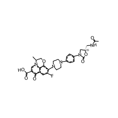 CC(=O)NC[C@H]1CN(c2ccc(N3CCN(c4c(F)cc5c(=O)c(C(=O)O)cn6c5c4OCC6C)CC3)cc2)C(=O)O1